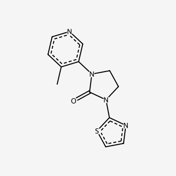 Cc1ccncc1N1CCN(c2nccs2)C1=O